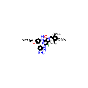 COCCOc1ccc(Nc2nc(Nc3cccc(N)c3)c(F)c3c2C(=O)N(Cc2ccc(OC)cc2OC)C3C)cc1